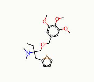 CCC(COCc1cc(OC)c(OC)c(OC)c1)(Cc1cccs1)N(C)C